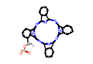 O=[SH](=O)O[SiH2]c1cccc2c3nc4nc(nc5[nH]c(nc6nc(nc([nH]3)c12)-c1ccccc1-6)c1ccccc51)-c1ccccc1-4